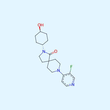 O=C1N([C@H]2CC[C@H](O)CC2)CCC12CCN(c1ccncc1F)CC2